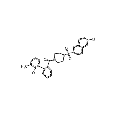 Cc1cccc(-c2ccccc2C(=O)N2CCN(S(=O)(=O)c3ccc4cc(Cl)ccc4c3)CC2)[n+]1[O-]